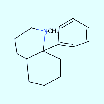 CN1CCCC2CCCCC21c1ccccc1